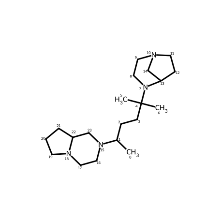 CC(CCC(C)(C)N1CCN2CCC1C2)N1CCN2CCCC2C1